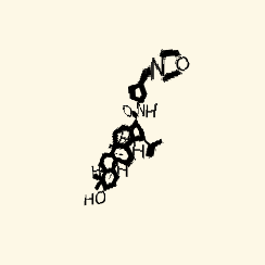 C=C(C)[C@@H]1C[C@@H](C(=O)NC2C=CC(CN3CCOCC3)C2)C2CC[C@]3(C)[C@H](CC[C@@H]4[C@@]5(C)CC[C@H](O)C(C)(C)[C@@H]5CC[C@]43C)[C@H]21